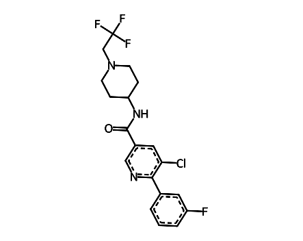 O=C(NC1CCN(CC(F)(F)F)CC1)c1cnc(-c2cccc(F)c2)c(Cl)c1